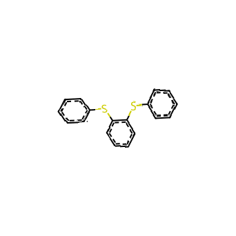 [c]1ccccc1Sc1ccccc1Sc1ccccc1